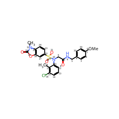 COc1ccc(CNC(=O)CN(c2cccc(Cl)c2C)S(=O)(=O)c2ccc3c(c2)oc(=O)n3C)cc1